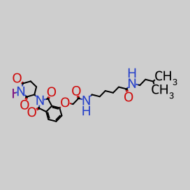 CC(C)CCNC(=O)CCCCCNC(=O)COc1cccc2c1C(=O)N(C1CCC(=O)N(I)C1=O)C2=O